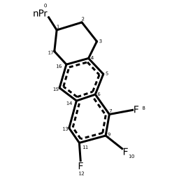 CCCC1CCc2cc3c(F)c(F)c(F)cc3cc2C1